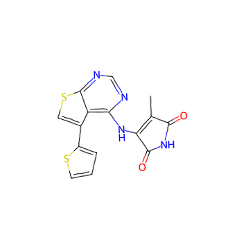 CC1=C(Nc2ncnc3scc(-c4cccs4)c23)C(=O)NC1=O